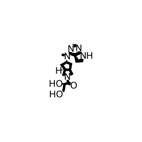 CN(c1ncnc2[nH]ccc12)[C@@H]1CC2CN(C(=O)[C@H](O)CO)C[C@H]2C1